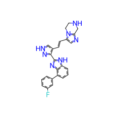 Fc1cccc(-c2cccc3[nH]c(-c4n[nH]cc4C=Cc4cnc5n4CCNC5)nc23)c1